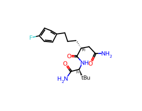 CC(C)(C)[C@H](NC(=O)[C@H](CCCc1ccc(F)cc1)CC(N)=O)C(N)=O